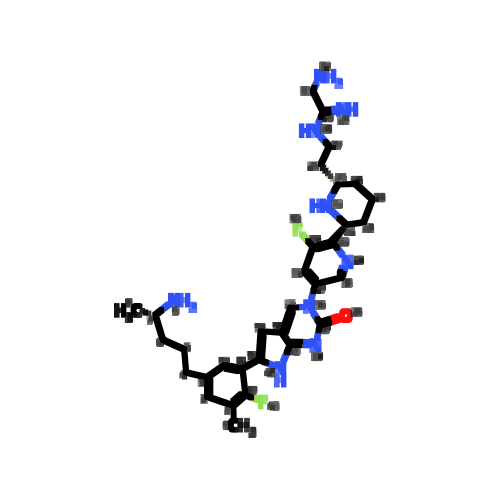 Cc1cc(CCC[C@H](C)N)cc(-c2cc3cn(-c4cnc([C@@H]5CCC[C@@H](CCNC(=N)CN)N5)c(F)c4)c(=O)nc3[nH]2)c1F